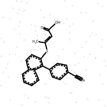 C/C(=C\C(=O)O)Sc1ccc2ccccc2c1-c1ccc(C#N)cc1